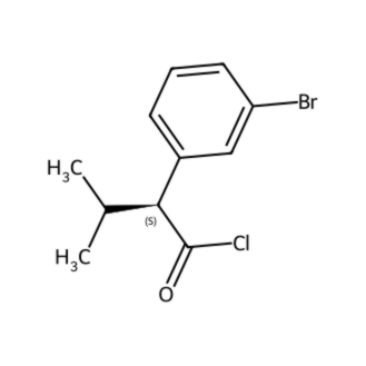 CC(C)[C@H](C(=O)Cl)c1cccc(Br)c1